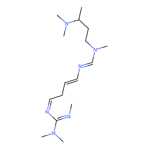 C/N=C(\N=C/C/C=C/N=C/N(C)CCC(C)N(C)C)N(C)C